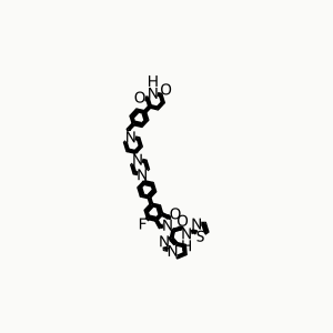 O=C1CCC(c2ccc(CN3CCC(N4CCN(c5ccc(-c6cc(F)c7c(c6)C(=O)N(C(C(=O)Nc6nccs6)c6ncn8c6CCC8)C7)cc5)CC4)CC3)cc2)C(=O)N1